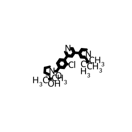 CC(C)(C)c1cc(-c2cncc(-c3ccc(C(=O)N4CCC[C@@H]4C(C)(C)O)cc3Cl)c2)ccn1